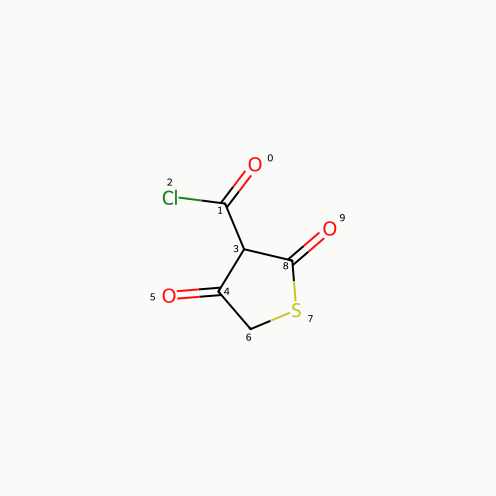 O=C(Cl)C1C(=O)CSC1=O